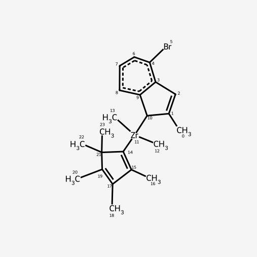 CC1=Cc2c(Br)cccc2[CH]1[Zr]([CH3])([CH3])[C]1=C(C)C(C)=C(C)C1(C)C